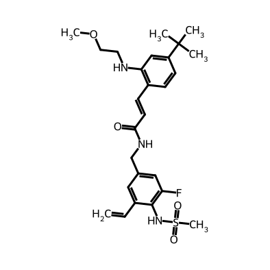 C=Cc1cc(CNC(=O)C=Cc2ccc(C(C)(C)C)cc2NCCOC)cc(F)c1NS(C)(=O)=O